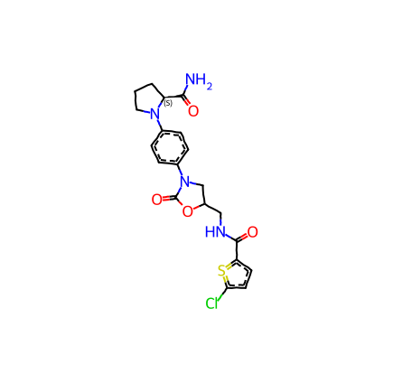 NC(=O)[C@@H]1CCCN1c1ccc(N2CC(CNC(=O)c3ccc(Cl)s3)OC2=O)cc1